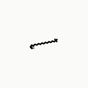 CC(C)(C)CCCCCCCCCCCCc1cccs1